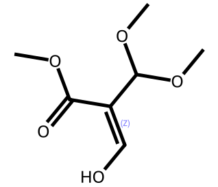 COC(=O)/C(=C\O)C(OC)OC